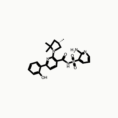 C[C@@H]1CN(c2nc(-c3ccccc3O)ccc2C(=O)NS(=O)(=O)c2cccnc2N)C(C)(C)C1